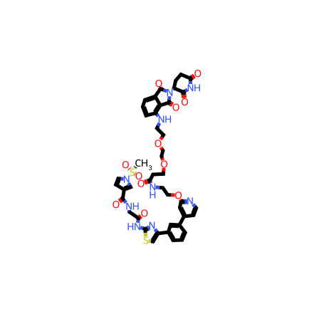 CS(=O)(=O)n1ccc(C(=O)NCC(=O)Nc2nc(-c3cccc(-c4ccnc(OCCNC(=O)CCOCCOCCNc5cccc6c5C(=O)N(C5CCC(=O)NC5=O)C6=O)c4)c3)cs2)c1